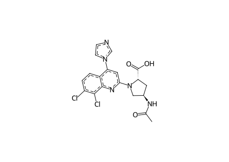 CC(=O)N[C@@H]1C[C@@H](C(=O)O)N(c2cc(-n3ccnc3)c3ccc(Cl)c(Cl)c3n2)C1